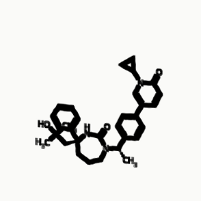 C[C@@H](c1ccc(-c2ccc(=O)n(C3CC3)c2)cc1)N1CCC[C@](CC(C)(C)O)(c2ccccc2)NC1=O